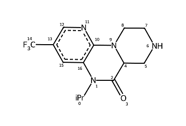 CC(C)N1C(=O)C2CNCCN2c2ncc(C(F)(F)F)cc21